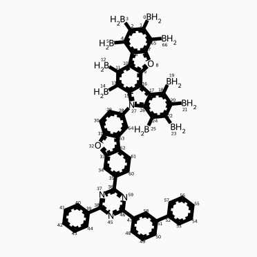 Bc1c(B)c(B)c2c(oc3c2c(B)c(B)c2c3c3c(B)c(B)c(B)c(B)c3n2-c2ccc3oc4cc(-c5nc(-c6ccccc6)nc(-c6cccc(-c7ccccc7)c6)n5)ccc4c3c2)c1B